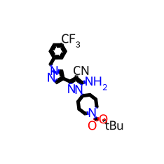 CC(C)(C)OC(=O)N1CCCC(n2nc(-c3cnn(Cc4ccc(C(F)(F)F)cc4)c3)c(C#N)c2N)CCC1